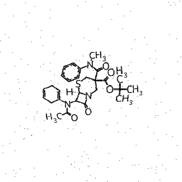 CC(=O)N(C1=CCC=CC1)C1C(=O)N2CC(C(=O)OC(C)(C)C)(C(=O)N(C)c3ccccc3)CS[C@H]12